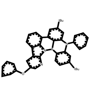 CC(C)(C)c1ccc2c(c1)N(c1ccccc1)c1cc(C(C)(C)C)cc3c1B2n1c2ncc(Oc4ccccc4)cc2c2cccc-3c21